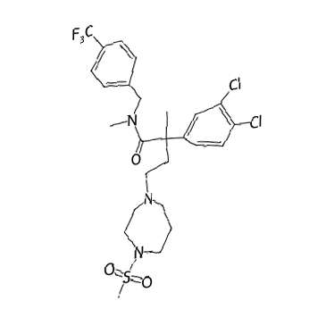 CN(Cc1ccc(C(F)(F)F)cc1)C(=O)C(C)(CCN1CCCN(S(C)(=O)=O)CC1)c1ccc(Cl)c(Cl)c1